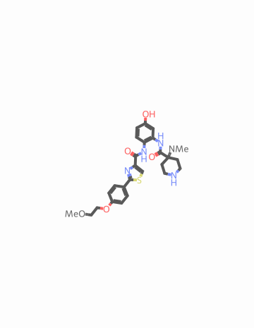 CNC1(C(=O)Nc2cc(O)ccc2NC(=O)c2csc(-c3ccc(OCCOC)cc3)n2)CCNCC1